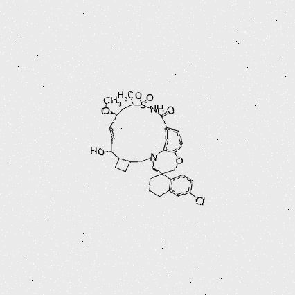 CO[C@@H]1/C=C/C(O)C2CCC2CN2C[C@@]3(CCCc4cc(Cl)ccc43)COc3ccc(cc32)C(=O)NS(=O)(=O)[C@H](C)C1